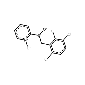 [O-][n+]1ccccc1[S+]([O-])Cc1c(Cl)ccc(Cl)c1Cl